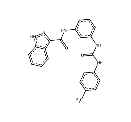 O=C(Nc1ccc(C(F)(F)F)cc1)Nc1cccc(NC(=O)c2n[nH]c3ccccc23)c1